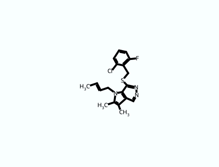 CC=CCn1c(C)c(C)c2cnnc(SCc3c(F)cccc3Cl)c21